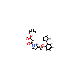 CCOC(=O)CC(=O)N1CCC(COc2ccccc2C2CCCC2)C1